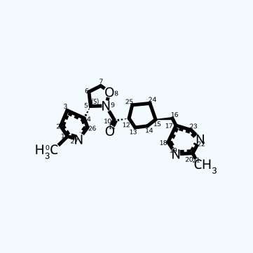 Cc1ccc([C@@H]2CCON2C(=O)[C@H]2CC[C@H](Cc3cnc(C)nc3)CC2)cn1